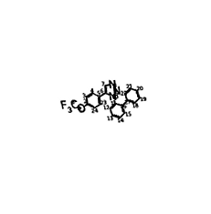 FC(F)(F)Oc1ccc(-c2cnnn2-c2ccccc2-c2ccccc2)cc1